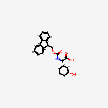 O=C(NC(C(=O)O)[C@H]1CCC[C@@H](O)C1)OCC1c2ccccc2-c2ccccc21